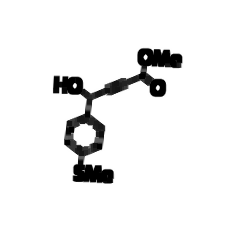 COC(=O)C#CC(O)c1ccc(SC)cc1